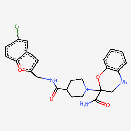 NC(=O)C1(N2CCC(C(=O)NCc3cc4cc(Cl)ccc4o3)CC2)CNc2ccccc2O1